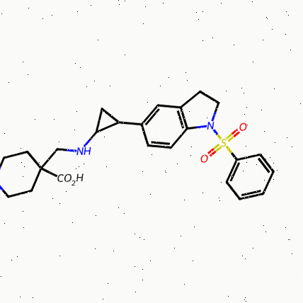 O=C(O)C1(CNC2CC2c2ccc3c(c2)CCN3S(=O)(=O)c2ccccc2)CCNCC1